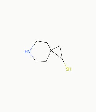 SC1CC12CCNCC2